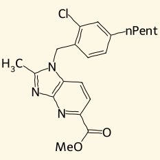 CCCCCc1ccc(Cn2c(C)nc3nc(C(=O)OC)ccc32)c(Cl)c1